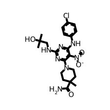 CC(C)(O)CNc1nc(Nc2ccc(Cl)cc2)c([N+](=O)[O-])c(N2CCC(C)(C(N)=O)CC2)n1